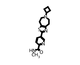 CNC(=O)c1ccc(-c2nc3c(s2)CCN(C2CCC2)CC3)cn1